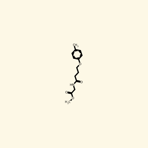 COC(=O)CNC(=O)CCCOc1ccc(C)cc1